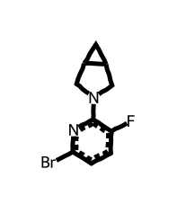 Fc1ccc(Br)nc1N1CC2CC2C1